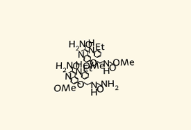 CCc1ccccc1Nc1c(C(N)=O)cnc2cc(OC)c(OCCCNCC(=O)OC)cc12.CCc1ccccc1Nc1c(C(N)=O)cnc2cc(OC)c(OCCCNCC(N)=O)cc12